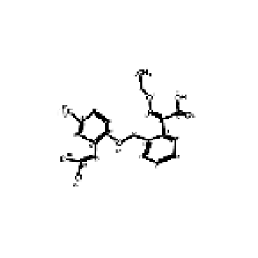 CCON=C(C(=O)O)c1ccccc1COc1ccc(C)cc1C=C(Cl)Cl